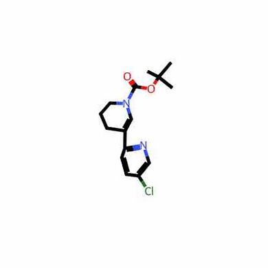 CC(C)(C)OC(=O)N1C=C(c2ccc(Cl)cn2)CCC1